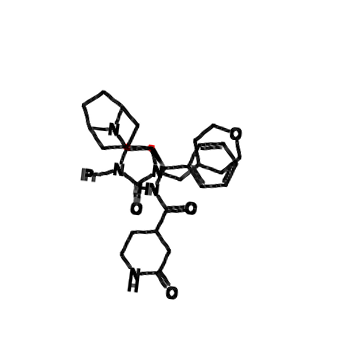 CC(C)N1C(=O)N(CC2CCOCC2)CC12CC1CCC(C2)N1CC[C@H](NC(=O)C1CCNC(=O)C1)c1ccccc1